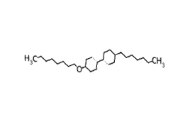 CCCCCCCCO[C@H]1CC[C@H]([C@H]2CC[C@H](CCCCCCC)CC2)CC1